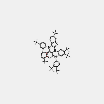 Cc1cc2c3c(c1)N(c1ccc(C(C)(C)C)cc1-c1ccc(C(C)(C)C)cc1)c1c(sc4cc(C(C)(C)C)ccc14)B3c1cc3c(cc1N2c1ccc2c(c1)C(C)(C)CC2(C)C)C(C)(C)CC3(C)C